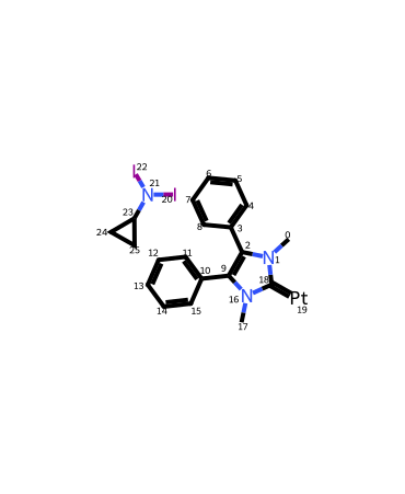 Cn1c(-c2ccccc2)c(-c2ccccc2)n(C)[c]1=[Pt].IN(I)C1CC1